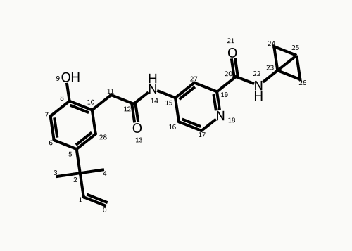 C=CC(C)(C)c1ccc(O)c(CC(=O)Nc2ccnc(C(=O)NC34CC3C4)c2)c1